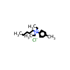 CCCCC[N+](CC)(CC)c1ccc(C)cc1.[Cl-]